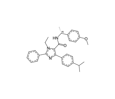 CCn1c(-c2ccccc2)nc(-c2ccc(C(C)C)cc2)c1C(=O)N[C@H](C)c1ccc(OC)cc1